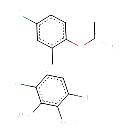 COc1c(Cl)ccc(Cl)c1C(=O)O.Cc1cc(Cl)ccc1O[C@H](C)C(=O)O